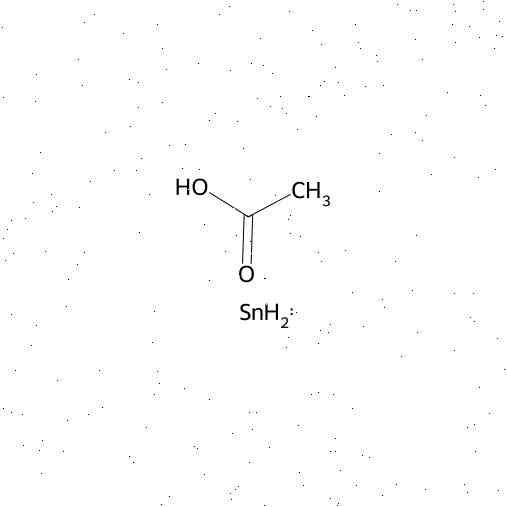 CC(=O)O.[SnH2]